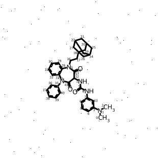 CN(C)c1cccc(NC(=O)NC2C(=O)N(CCC34CC5CC(CC(C5)C3)C4)c3ccccc3N(c3ccccc3)C2=O)c1